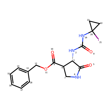 O=C(N[C@@H]1C(=O)NCC1C(=O)OCc1ccccc1)NC1(I)CC1